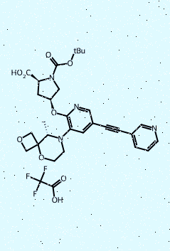 C[C@@H]1N(c2cc(C#Cc3cccnc3)cnc2O[C@H]2C[C@@H](C(=O)O)N(C(=O)OC(C)(C)C)C2)CCOC12COC2.O=C(O)C(F)(F)F